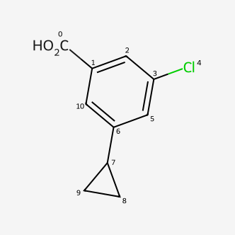 O=C(O)c1cc(Cl)cc(C2CC2)c1